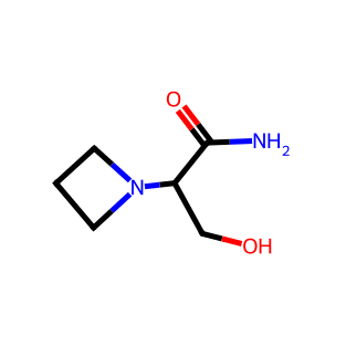 NC(=O)C(CO)N1CCC1